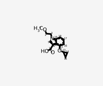 COCCn1cc(C(=O)O)c2c(OC3CC3)cccc21